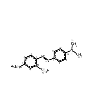 CC(=O)Nc1ccc(/N=N/c2ccc(N(C)C)cc2)c(S(=O)(=O)O)c1